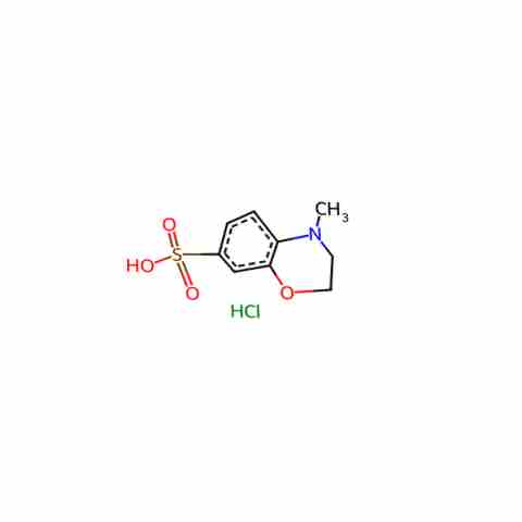 CN1CCOc2cc(S(=O)(=O)O)ccc21.Cl